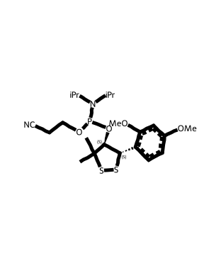 COc1ccc([C@@H]2SSC(C)(C)[C@H]2OP(OCCC#N)N(C(C)C)C(C)C)c(OC)c1